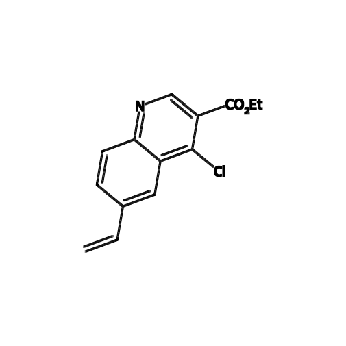 C=Cc1ccc2ncc(C(=O)OCC)c(Cl)c2c1